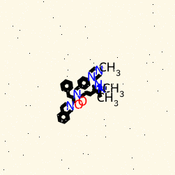 Cc1c(C=CC(=O)N(Cc2ccc(N3CCN(C)CC3)cc2)C(Cc2ccccc2)C(=O)N2CCc3ccccc3C2)cnn1C